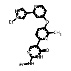 CCn1cc(-c2cc(Oc3ccc(-c4cnc(NC(C)C)[nH]c4=O)nc3C)ccn2)cn1